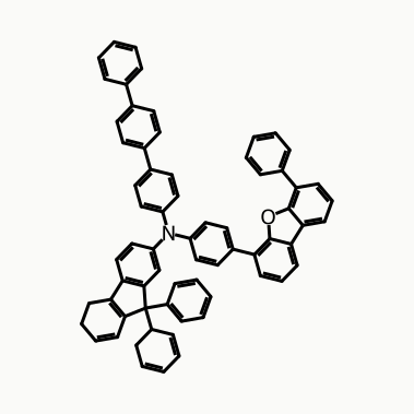 C1=CCC(C2(c3ccccc3)C3=C(CCC=C3)c3ccc(N(c4ccc(-c5ccc(-c6ccccc6)cc5)cc4)c4ccc(-c5cccc6c5oc5c(-c7ccccc7)cccc56)cc4)cc32)C=C1